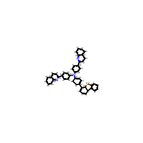 C1=CC2c3ccccc3SC2C(C2=CC=C(N(c3ccc(-c4ccc5ccccc5n4)cc3)c3ccc(-c4ccc5ccccc5n4)cc3)CC2)=C1